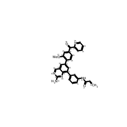 C=CC(=O)Nc1cccc(-c2cc(-c3ccc(C(=O)c4ccccn4)cc3OC)cc3cnc(N)nc23)c1